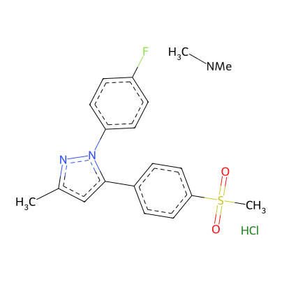 CNC.Cc1cc(-c2ccc(S(C)(=O)=O)cc2)n(-c2ccc(F)cc2)n1.Cl